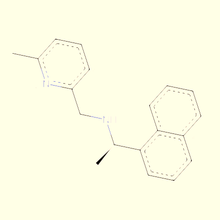 Cc1cccc(CN[C@H](C)c2cccc3ccccc23)n1